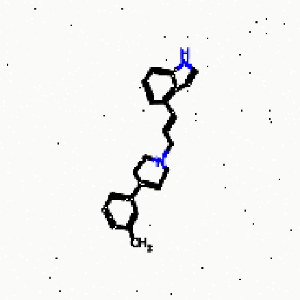 Cc1cccc(C2=CCN(CC=Cc3cccc4[nH]ccc34)CC2)c1